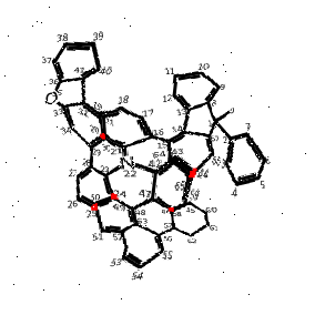 CC1(c2ccccc2)c2ccccc2-c2c(-c3ccccc3N(c3ccccc3-c3ccc4c(c3)oc3ccccc34)c3ccccc3-c3cccc4cccc(C5CCCCC5)c34)cccc21